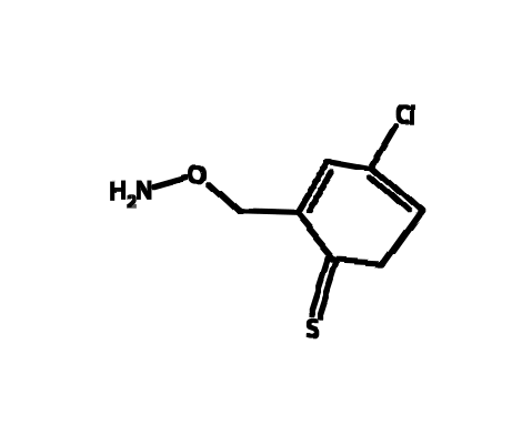 NOCC1=CC(Cl)=CCC1=S